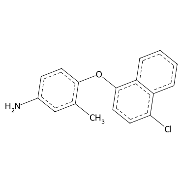 Cc1cc(N)ccc1Oc1ccc(Cl)c2ccccc12